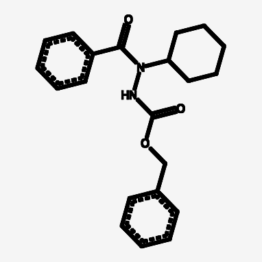 O=C(NN(C(=O)c1ccccc1)C1CCCCC1)OCc1ccccc1